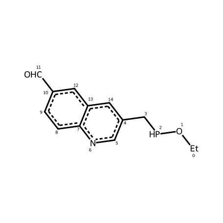 CCOPCc1cnc2ccc(C=O)cc2c1